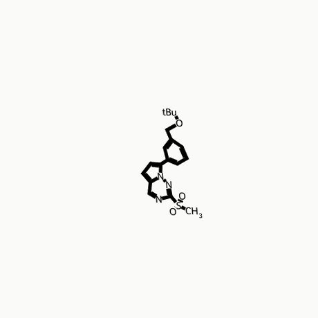 CC(C)(C)OCc1cccc(-c2ccc3cnc(S(C)(=O)=O)nn23)c1